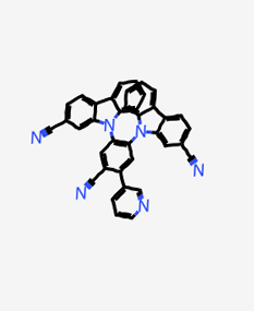 N#Cc1ccc2c3ccccc3n(-c3cc(C#N)c(-c4cccnc4)cc3-n3c4ccccc4c4ccc(C#N)cc43)c2c1